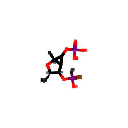 B[C@@H]1O[C@@H]2C(OP(=O)(O)O)C2[C@H]1OP(O)(=S)C(C)C